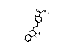 CC(CCc1ccc(C(N)=O)nc1)N[C@H](C)c1ccccc1